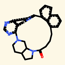 O=C1CCCc2cccc3cccc(c23)-c2cc3ncnc(c3cn2)N2CCC3CCN1C3C2